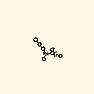 c1ccc(-c2ccc(-c3ccc(-c4nc(-c5ccccc5)nc(-c5cc6nc(-c7ccccc7)sc6c6ccccc56)n4)cc3)cc2)cc1